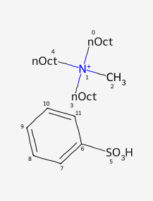 CCCCCCCC[N+](C)(CCCCCCCC)CCCCCCCC.O=S(=O)(O)c1ccccc1